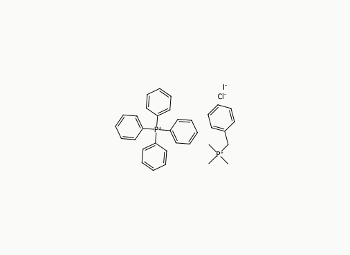 C[P+](C)(C)Cc1ccccc1.[Cl-].[I-].c1ccc([P+](c2ccccc2)(c2ccccc2)c2ccccc2)cc1